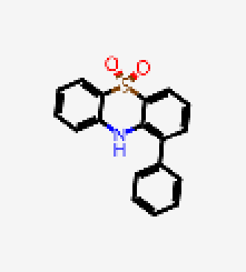 O=S1(=O)c2ccccc2Nc2c(-c3ccccc3)cccc21